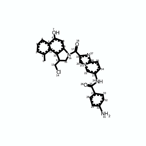 Cc1cccc2c(O)cc3c(c12)C(CCl)CN3C(=O)c1cn2cc(NC(=O)c3ccc(N)cc3)ccc2n1